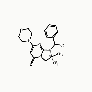 CCC(c1ccccc1)N1c2nc(N3CCOCC3)cc(=O)n2C[C@@]1(C)C(F)(F)F